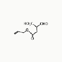 C=CCOC(=O)CC(C=O)C(=O)O